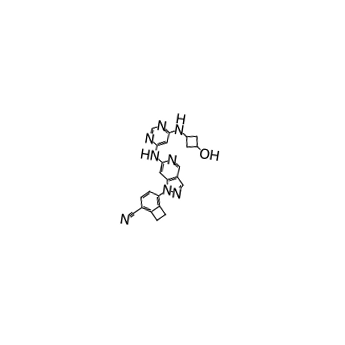 N#Cc1ccc(-n2ncc3cnc(Nc4cc(NC5CC(O)C5)ncn4)cc32)c2c1CC2